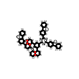 c1ccc(-c2cc(-c3nc(-c4ccc5c(c4)oc4ccccc45)nc(-c4ccc5c(c4)oc4ccccc45)n3)cc(-c3ccccc3)c2N(c2ccccc2)c2ccc3c(c2)oc2c3ccc3oc4ccccc4c32)cc1